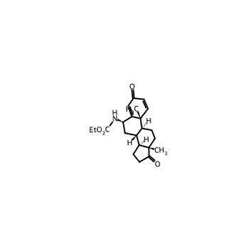 CCOC(=O)N[C@@H]1C[C@@H]2[C@H](CC[C@]3(C)C(=O)CC[C@@H]23)[C@@]2(C)C=CC(=O)C=C12